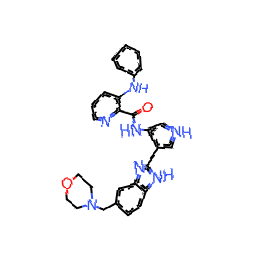 O=C(Nc1c[nH]cc1-c1nc2cc(CN3CCOCC3)ccc2[nH]1)c1ncccc1Nc1ccccc1